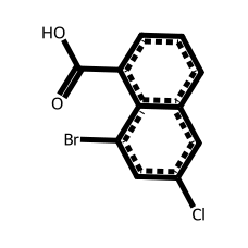 O=C(O)c1cccc2cc(Cl)cc(Br)c12